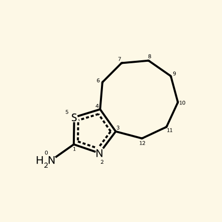 Nc1nc2c(s1)CCCCCCC2